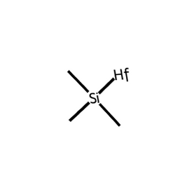 C[Si](C)(C)[Hf]